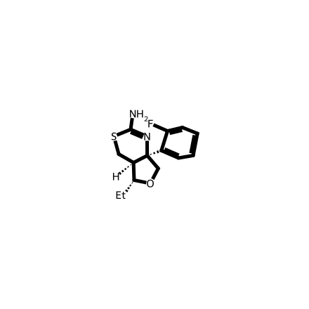 CC[C@H]1OC[C@]2(c3ccccc3F)N=C(N)SC[C@H]12